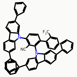 N#Cc1c(-n2c3cc(-c4ccccc4)ccc3c3ccc(-c4ccccc4)cc32)ccc(-c2ccccc2C(F)(F)F)c1-n1c2cc(-c3ccccc3)ccc2c2ccc(-c3ccccc3)cc21